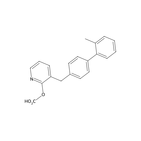 Cc1ccccc1-c1ccc(Cc2cccnc2OC(=O)O)cc1